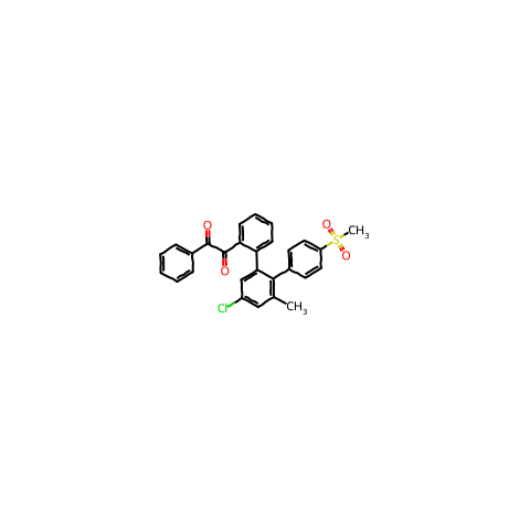 Cc1cc(Cl)cc(-c2ccccc2C(=O)C(=O)c2ccccc2)c1-c1ccc(S(C)(=O)=O)cc1